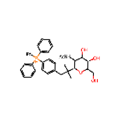 CC(=O)NC1C(O)[C@@H](O)C(CO)O[C@H]1C(C)(C)Cc1ccc([PH](c2ccccc2)(c2ccccc2)C(C)C)cc1